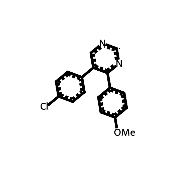 COc1ccc(-c2n[c]ncc2-c2ccc(Cl)cc2)cc1